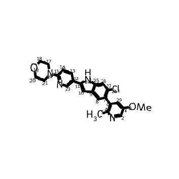 COc1cnc(C)c(-c2cc3cc(-c4ccc(N5CCOCC5)nc4)[nH]c3cc2Cl)c1